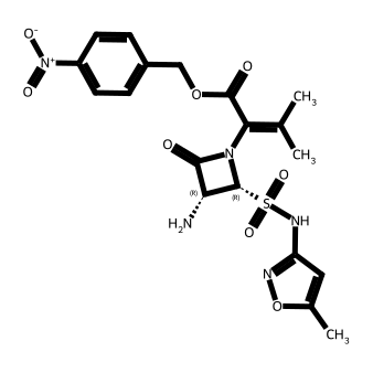 CC(C)=C(C(=O)OCc1ccc([N+](=O)[O-])cc1)N1C(=O)[C@@H](N)[C@H]1S(=O)(=O)Nc1cc(C)on1